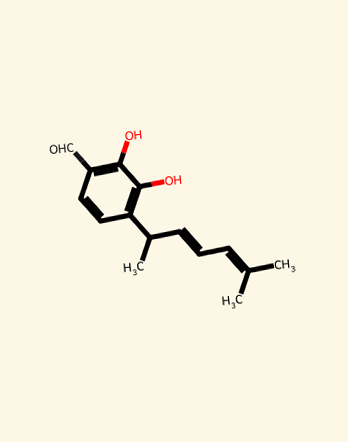 CC(C)=C/C=C/C(C)c1ccc(C=O)c(O)c1O